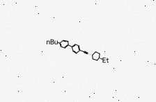 CCCCc1ccc(-c2ccc(C#C[C@H]3CC[C@H](CC)CC3)cc2)cc1